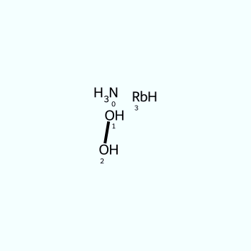 N.OO.[RbH]